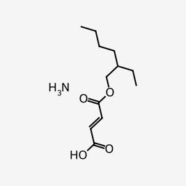 CCCCC(CC)COC(=O)C=CC(=O)O.N